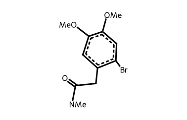 CNC(=O)Cc1cc(OC)c(OC)cc1Br